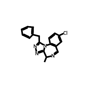 CC1N=Cc2cc(Cl)ccc2-n2c(Cc3ccccc3)nnc21